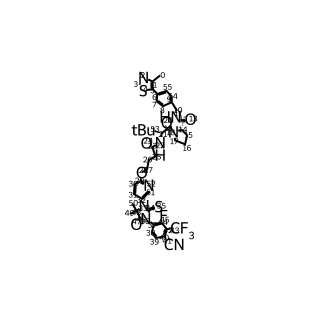 Cc1ncsc1-c1ccc(CNC(=O)[C@@H]2CCCN2C(=O)[C@@H](NC(=O)CCCOc2ccc(N3C(=S)N(c4ccc(C#N)c(C(F)(F)F)c4F)C(=O)C3(C)C)cn2)C(C)(C)C)cc1